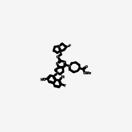 CCc1c(F)ccc2cc(O)cc(N3CCc4c(nc(OC[C@@]56CCCN5C[C@H](F)C6)nc4N4CCCC(C(=O)OC)CCC4)C3)c12